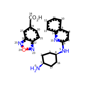 N[C@H]1CC[C@@H](Nc2ccc3ccccc3n2)CC1.O=C(O)c1ccc2nonc2c1